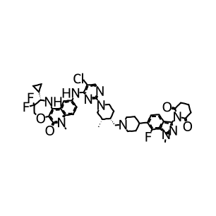 C[C@@H]1CN(c2ncc(Cl)c(Nc3ccc4c(c3)c3c(c(=O)n4C)OCC(F)(F)[C@H](C4CC4)N3)n2)CC[C@@H]1CN1CCC(c2ccc3c(N4C(=O)CCCC4=O)nn(C)c3c2F)CC1